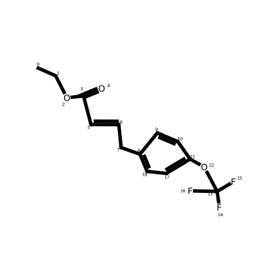 CCOC(=O)C=CCc1ccc(OC(F)(F)F)cc1